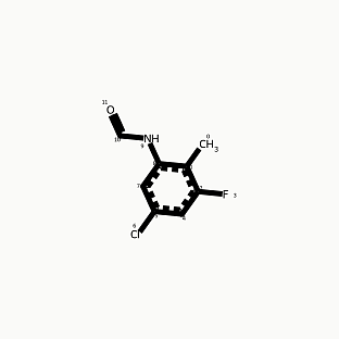 Cc1c(F)cc(Cl)cc1NC=O